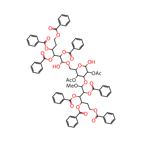 COC(OC1C(OC(C)=O)C(O)OC(COC(O)C(OC(=O)c2ccccc2)C(OC(=O)c2ccccc2)C(CCOC(=O)c2ccccc2)OC(=O)c2ccccc2)C1OC(C)=O)C(OC(=O)c1ccccc1)C(OC(=O)c1ccccc1)C(CCOC(=O)c1ccccc1)OC(=O)c1ccccc1